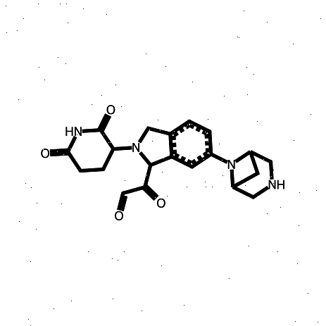 O=CC(=O)C1c2cc(N3C4CNCC3C4)ccc2CN1C1CCC(=O)NC1=O